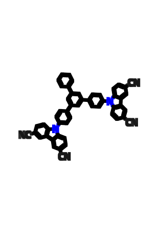 N#Cc1ccc2c(c1)c1cc(C#N)ccc1n2-c1ccc(-c2cc(-c3ccccc3)cc(-c3ccc(-n4c5ccc(C#N)cc5c5cc(C#N)ccc54)cc3)c2)cc1